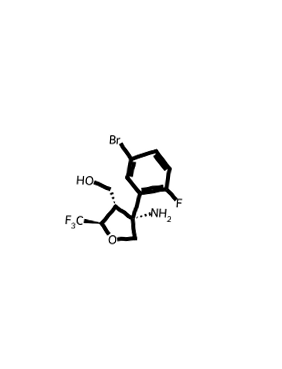 N[C@]1(c2cc(Br)ccc2F)CO[C@@H](C(F)(F)F)[C@@H]1CO